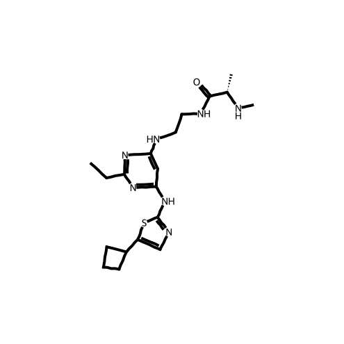 CCc1nc(NCCNC(=O)[C@H](C)NC)cc(Nc2ncc(C3CCC3)s2)n1